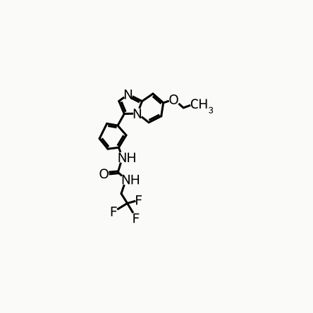 CCOc1ccn2c(-c3cccc(NC(=O)NCC(F)(F)F)c3)cnc2c1